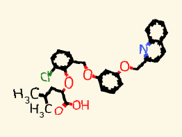 CC(C)CC(Oc1c(Cl)cccc1COc1cccc(OCc2ccc3ccccc3n2)c1)C(=O)O